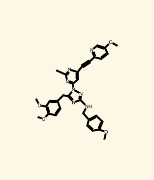 COc1ccc(CNc2nc(Cc3ccc(OC)c(OC)c3)n(-c3cc(C#Cc4ccc(OC)cn4)nc(C)n3)n2)cc1